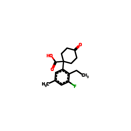 CCc1c(F)cc(C)cc1C1(C(=O)O)CCC(=O)CC1